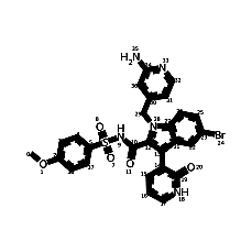 COc1ccc(S(=O)(=O)NC(=O)c2c(-c3ccc[nH]c3=O)c3cc(Br)ccc3n2Cc2ccnc(N)c2)cc1